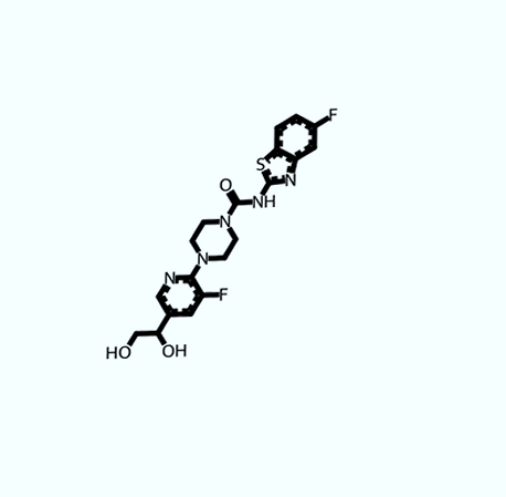 O=C(Nc1nc2cc(F)ccc2s1)N1CCN(c2ncc(C(O)CO)cc2F)CC1